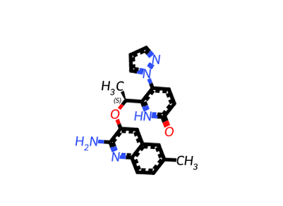 Cc1ccc2nc(N)c(O[C@@H](C)c3[nH]c(=O)ccc3-n3cccn3)cc2c1